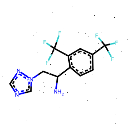 NC(Cn1cncn1)c1ccc(C(F)(F)F)cc1C(F)(F)F